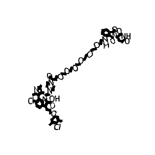 Cc1cc(OCCCc2c(C(=O)O)n(CCN3CCN(C(=O)CCOCCOCCOCCOCCOCCOCCNc4cccc5c4C(=O)N(C4CCC(=O)NC4=O)C5=O)CC3)c3c(-c4c(C)nn(C)c4C)c(Cl)ccc23)cc(C)c1Cl